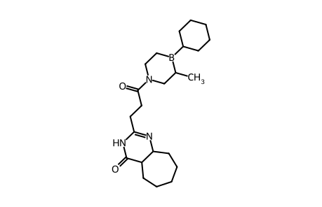 CC1CN(C(=O)CCC2=NC3CCCCCC3C(=O)N2)CCB1C1CCCCC1